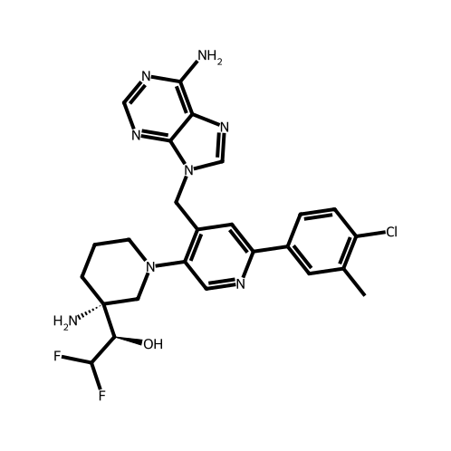 Cc1cc(-c2cc(Cn3cnc4c(N)ncnc43)c(N3CCC[C@](N)([C@@H](O)C(F)F)C3)cn2)ccc1Cl